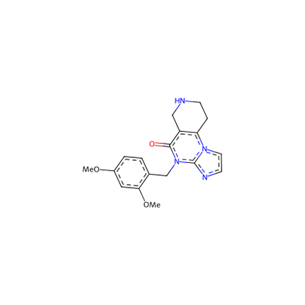 COc1ccc(Cn2c(=O)c3c(n4ccnc24)CCNC3)c(OC)c1